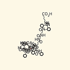 CC(=O)O[C@@H]1C2=C(C)[C@@H](OC(=O)[C@H](OC(=O)CCC(=O)NCC(=O)NCCC(=O)N3Cc4ccccc4-c4nnn(CCCCCC(=O)O)c4-c4ccccc43)C(NC(=O)c3ccccc3)c3ccccc3)C[C@@](O)([C@@H](OC(=O)c3ccccc3)[C@@H]3[C@]4(OC(C)=O)CO[C@@H]4C[C@H](O)[C@@]3(C)C1O)C2(C)C